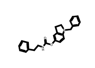 O=C(NCCc1ccccc1)Oc1ccc2c(c1)CCN2Cc1ccccc1